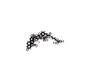 C[C@@H]1CC2C3CCC4=CC(=O)C=C[C@]4(C)[C@@]3(F)[C@@H](O)C[C@]2(C)[C@@]1(OC(=O)CCCON(O)O)C(=O)COC(=O)Oc1ccc(C[C@H](N)C(=O)OCCCCON(O)O)cc1